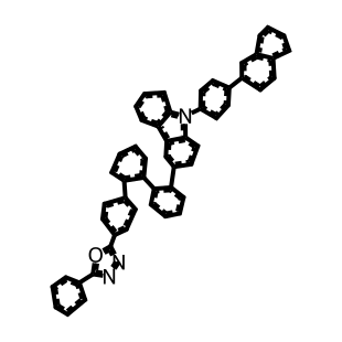 c1ccc(-c2nnc(-c3ccc(-c4ccccc4-c4ccccc4-c4ccc5c(c4)c4ccccc4n5-c4ccc(-c5ccc6ccccc6c5)cc4)cc3)o2)cc1